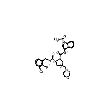 NC(=O)n1cc(NC(=O)N2C[C@](F)(CN3CCOCC3)C[C@H]2C(=O)NCc2cccc(Cl)c2F)c2ccccc21